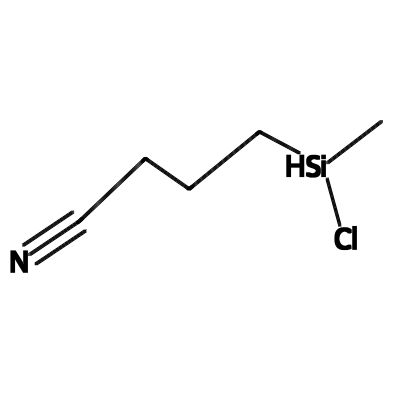 C[SiH](Cl)CCCC#N